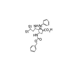 CCC(CC)CC(NC(C)=O)C1C(NC(=O)OCc2ccccc2)C[C@@H](C(=O)O)N1Cc1ccccc1